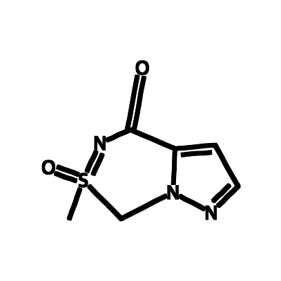 CS1(=O)=NC(=O)c2ccnn2C1